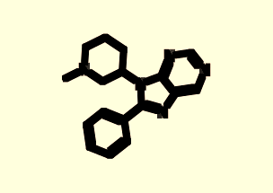 CN1CCCC(n2c(-c3ccccc3)nc3cncnc32)C1